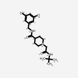 CC(C)(C)NC(=O)CN1CCC(C(=O)NCc2cc(Cl)cc(Cl)c2)CC1